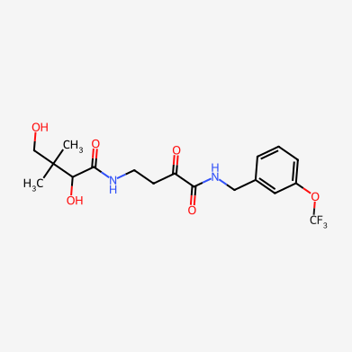 CC(C)(CO)C(O)C(=O)NCCC(=O)C(=O)NCc1cccc(OC(F)(F)F)c1